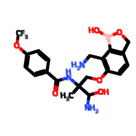 CC(COc1ccc2c(c1CN)B(O)OC2)(NC(=O)c1ccc(OC(F)(F)F)cc1)C(N)O